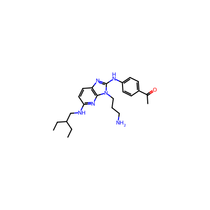 CCC(CC)CNc1ccc2nc(Nc3ccc(C(C)=O)cc3)n(CCCN)c2n1